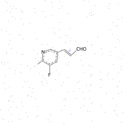 Cc1ncc(/C=C/C=O)cc1F